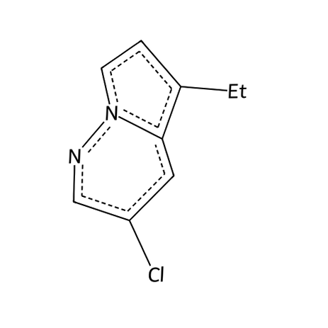 CCc1ccn2ncc(Cl)cc12